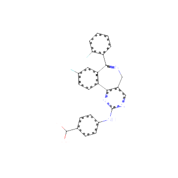 OC(O)c1ccc(Nc2ncc3c(n2)-c2ccc(F)cc2C(c2ccccc2F)=NC3)cc1